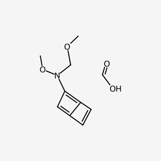 COCN(OC)c1cc2ccc1-2.O=CO